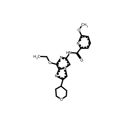 CCOc1nc(NC(=O)c2cccc(OC)n2)cn2cc(C3CCOCC3)nc12